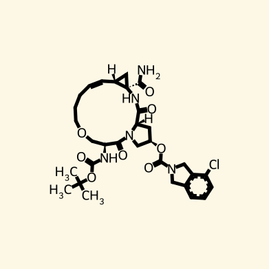 CC(C)(C)OC(=O)N[C@H]1COCCC/C=C\[C@@H]2C[C@@]2(C(N)=O)NC(=O)[C@@H]2C[C@@H](OC(=O)N3Cc4cccc(Cl)c4C3)CN2C1=O